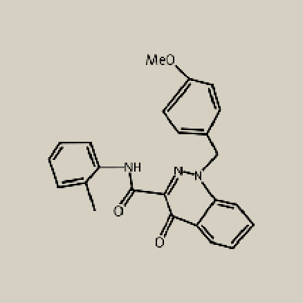 COc1ccc(Cn2nc(C(=O)Nc3ccccc3C)c(=O)c3ccccc32)cc1